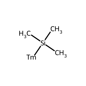 C[Si](C)(C)[Tm]